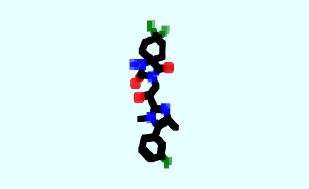 Cc1nc(C(=O)CN2C(=O)NC3(CCC(F)(F)CC3)C2=O)n(C)c1-c1cccc(F)c1